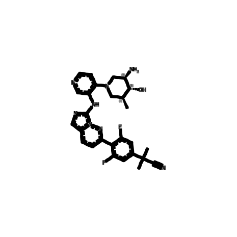 C[C@H]1CN(c2ccncc2Nc2ncc3ccc(-c4c(F)cc(C(C)(C)C#N)cc4F)nn23)C[C@@H](N)[C@@H]1O